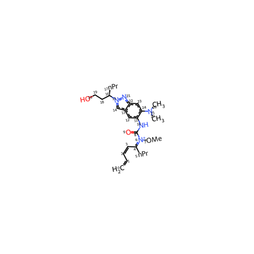 C=C/C=C\C(CCC)=[N+](\OC)C(=O)Nc1cc2cn([C@H](CCC)CCO)nc2cc1N(C)C